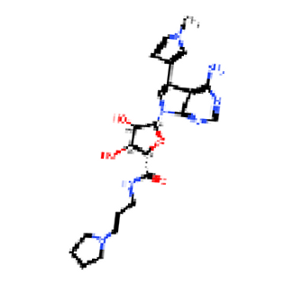 Cn1ccc(-c2cn([C@@H]3O[C@H](C(=O)NCCCN4CCCC4)[C@@H](O)[C@H]3O)c3ncnc(N)c23)c1